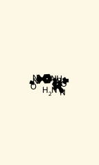 CC(=O)n1cc(-c2ccc(Nc3cc(N)c(C#N)c(OC(C)C)n3)cc2)cn1